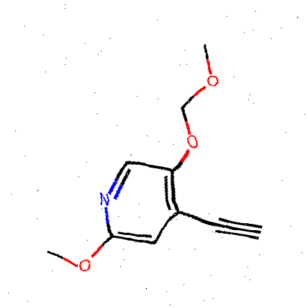 C#Cc1cc(OC)ncc1OCOC